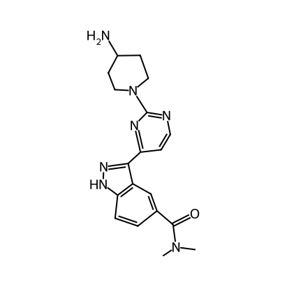 CN(C)C(=O)c1ccc2[nH]nc(-c3ccnc(N4CCC(N)CC4)n3)c2c1